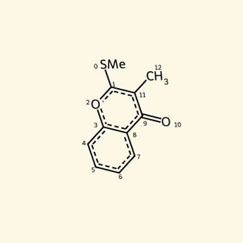 CSc1oc2ccccc2c(=O)c1C